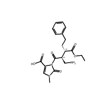 CCOC(=O)[C@@H](CCc1ccccc1)[C@@H](CN)C(=O)n1c(C(=O)O)cn(C)c1=O